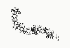 CCC(C)(C)N1C(=O)c2ccc(C(c3ccc4c(c3)C(=O)N(C(C)(CC)c3ccc(Oc5ccc(C(c6ccc(Oc7ccc(N8C(=O)C=CC8=O)cc7)cc6)(C(F)(F)F)C(F)(F)F)cc5)cc3)C4=O)(C(F)(F)F)C(F)(F)F)cc2C1=O